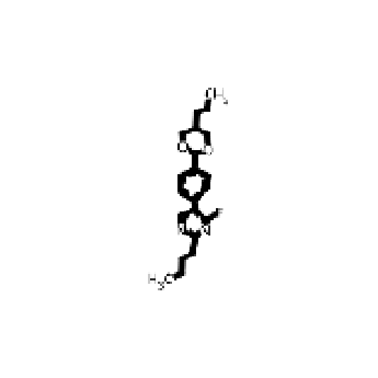 CCCCc1ncc(-c2ccc(C3OCC(CCC)CO3)cc2)c(F)n1